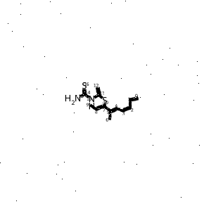 C=C\C=C/C=C(C)/C(=C/C)SC(=C)NC(N)=S